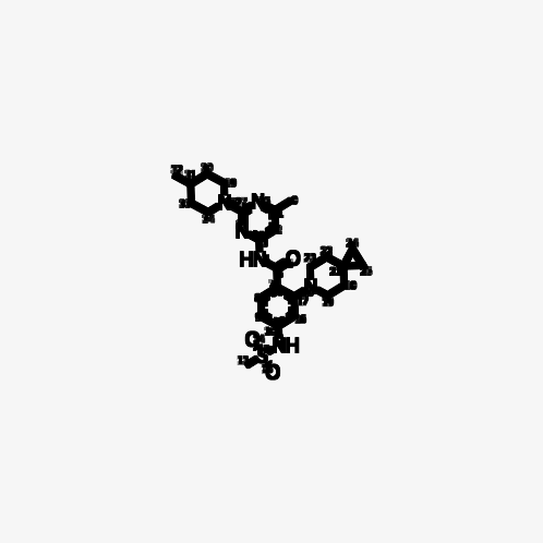 Cc1cc(NC(=O)c2ccc(NS(C)(=O)=O)cc2N2CCC3(CC2)CC3)nc(N2CCC(C)CC2)n1